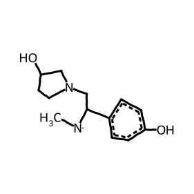 C[N]C(CN1CCC(O)C1)c1ccc(O)cc1